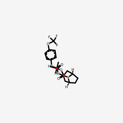 CC(C)(C)OC(=O)N1[C@@H]2CC[C@H]1CC(NC(=O)Nc1ccc(OC(F)(F)F)cc1)C2